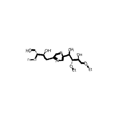 CCOC[C@H](O)[C@H](OCC)C(O)c1cnc(C[C@H](O)[C@@H](CO)OCC)cn1